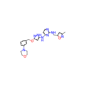 Cc1cc(CNc2nccc(Nc3cc(OCc4cccc(N5CCOCC5)c4)n[nH]3)n2)on1